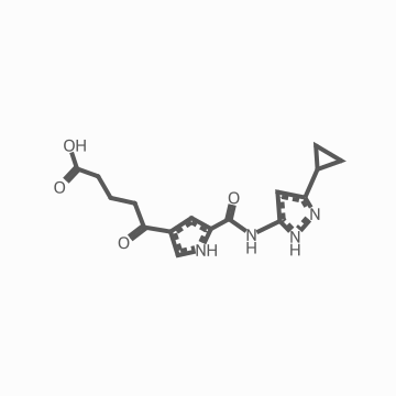 O=C(O)CCCC(=O)c1c[nH]c(C(=O)Nc2cc(C3CC3)n[nH]2)c1